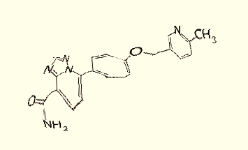 Cc1ccc(COc2ccc(-c3ccc(C(N)=O)c4n[c]nn34)cc2)cn1